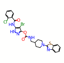 O=C(NCC1CCN(c2nc3ccccc3s2)CC1)Oc1n[nH]c(NC(=O)c2ccccc2Cl)c1Br